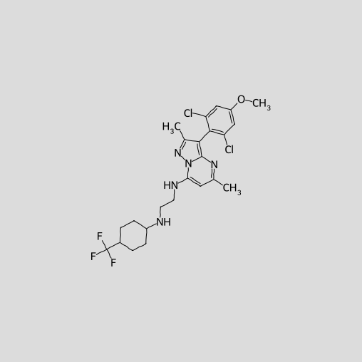 COc1cc(Cl)c(-c2c(C)nn3c(NCCNC4CCC(C(F)(F)F)CC4)cc(C)nc23)c(Cl)c1